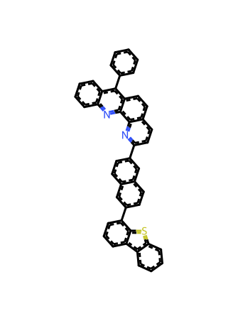 c1ccc(-c2c3ccccc3nc3c2ccc2ccc(-c4ccc5cc(-c6cccc7c6sc6ccccc67)ccc5c4)nc23)cc1